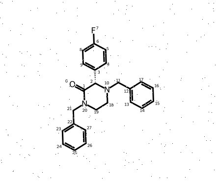 O=C1[C@H](c2ccc(F)cc2)N(Cc2ccccc2)CCN1Cc1ccccc1